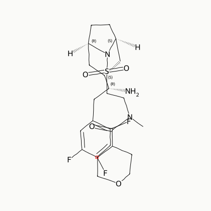 CN(CCS(=O)(=O)N1[C@@H]2CC[C@H]1C[C@H]([C@H](N)Cc1cc(F)c(F)cc1F)C2)C(=O)C1CCOCC1